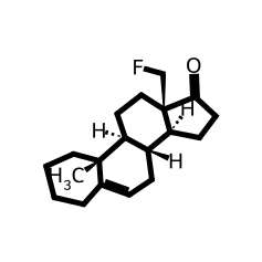 C[C@]12CCCCC1=CC[C@H]1[C@@H]3CCC(=O)[C@@]3(CF)CC[C@@H]12